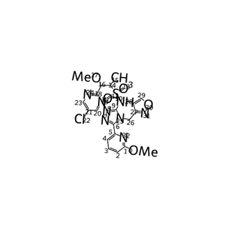 COc1cccc(-c2nnc(NS(=O)(=O)C(C)C(OC)c3ncc(Cl)cn3)n2Cc2ccon2)n1